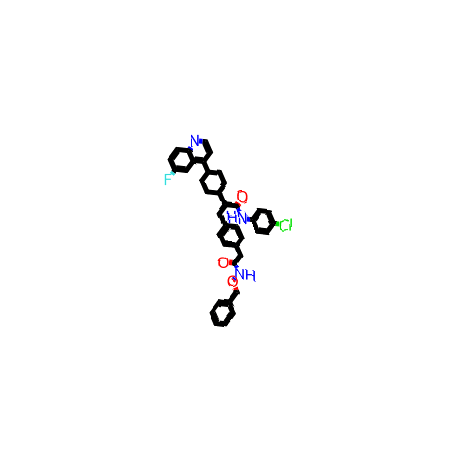 O=C(Cc1ccc(CC(C(=O)Nc2ccc(Cl)cc2)C2CCC(c3ccnc4ccc(F)cc34)CC2)cc1)NOCc1ccccc1